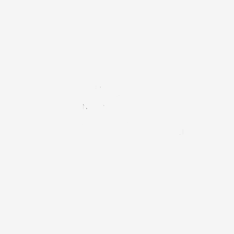 CC1=C(c2ccc(Cl)cc2)S(=O)(=O)N(C)C12CCCCC2